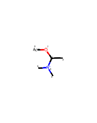 CC(=O)OC(C)[N+](C)C